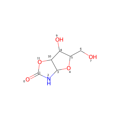 O=C1NC2OC(CO)C(O)C2O1